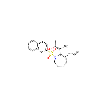 C=CCC1=C(C(C(C)=O)=C(C)O)N(S(=O)(=O)c2ccc3ccccc3c2)CCCC1